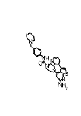 Nc1nc(N2CCN(C(=O)Nc3ccc(CN4CCCCC4)cc3)CC2)c2c(-c3cccnc3)csc2n1